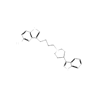 Oc1ccc2[nH]cc(CCCCN3CCC(c4c[nH]c5ccccc45)CC3)c2c1